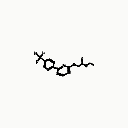 CCOC(=O)CSc1nccc(-c2ccc(C(F)(F)F)cn2)n1